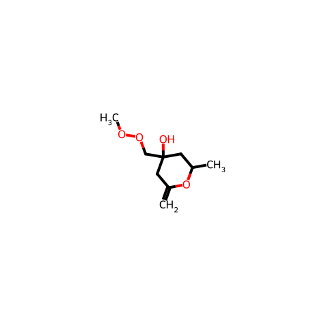 C=C1CC(O)(COOC)CC(C)O1